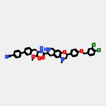 COC(=O)[C@H](Cc1ccc(-c2ccc(C#N)cc2)cc1)NC(=O)C1Cc2cc3c(cc2CN1)OC(c1ccc(OCc2ccc(Cl)c(Cl)c2)cc1)CN3C